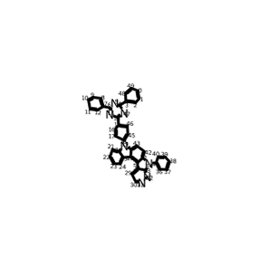 c1ccc(-c2nc(-c3ccccc3)nc(-c3ccc(-n4c5ccccc5c5c6c7ccnnc7n(-c7ccccc7)c6ccc54)cc3)n2)cc1